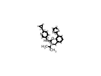 CC(C)N(Cc1cccc(-c2nccs2)c1)C(=O)Nc1ccc(C2CC2)nc1